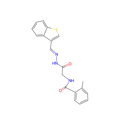 Cc1ccccc1C(=O)NCC(=O)N/N=C/c1csc2ccccc12